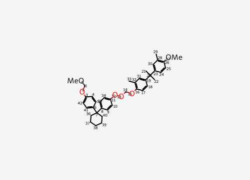 COCOc1ccc(C2(c3ccc(OOCOc4ccc(C(C)(C)c5ccc(OC)c(C)c5)cc4C)cc3)CCCCC2)cc1